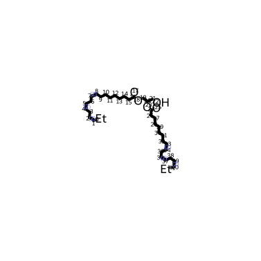 CC/C=C\C/C=C\C/C=C\CCCCCCCC(=O)OCC(CO)OC(=O)CCCCCCC/C=C\C/C=C\C/C=C\CC